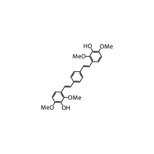 COc1ccc(C=Cc2ccc(C=Cc3ccc(OC)c(O)c3OC)cc2)c(OC)c1O